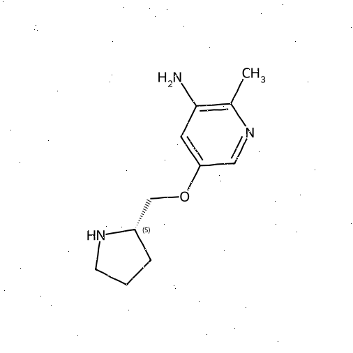 Cc1ncc(OC[C@@H]2CCCN2)cc1N